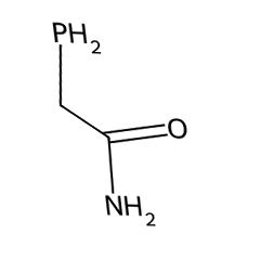 NC(=O)CP